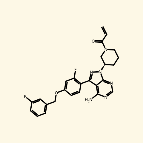 C=CC(=O)N1CCC[C@@H](n2nc(-c3ccc(OCc4cccc(F)c4)cc3F)c3c(N)ncnc32)C1